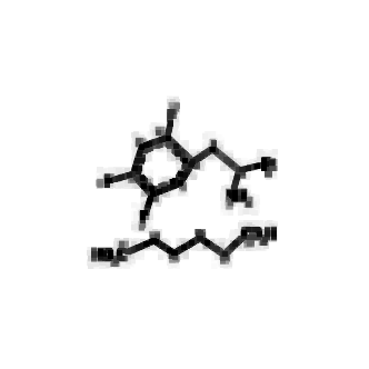 CCC(N)Cc1cc(F)c(F)cc1F.O=C(O)CCCCC(=O)O